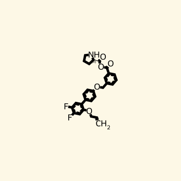 C=CCOc1cc(F)c(F)cc1-c1ccc(OCc2cccc(C(=O)OC(=O)[C@@H]3CCCN3)c2)cc1